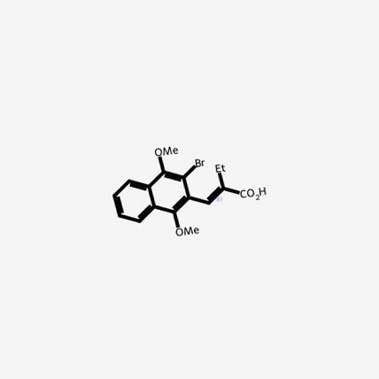 CC/C(=C\c1c(Br)c(OC)c2ccccc2c1OC)C(=O)O